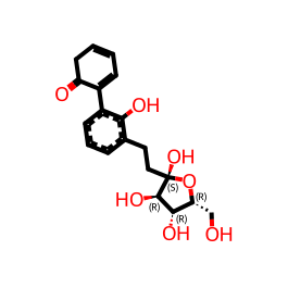 O=C1CC=CC=C1c1cccc(CC[C@]2(O)O[C@H](CO)[C@H](O)[C@H]2O)c1O